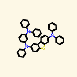 c1ccc(N(c2ccccc2)c2cccc(N(c3ccccc3)c3ccc4sc5cc(N(c6ccccc6)c6ccccc6)ccc5c4c3)c2)cc1